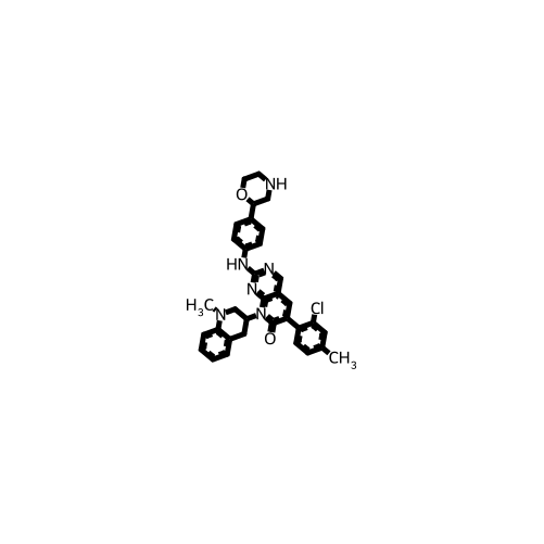 Cc1ccc(-c2cc3cnc(Nc4ccc(C5CNCCO5)cc4)nc3n(C3Cc4ccccc4N(C)C3)c2=O)c(Cl)c1